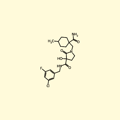 CC1CCC(CN2CCC(O)(C(=O)NCc3cc(F)cc(Cl)c3)C2=O)(C(N)=O)CC1